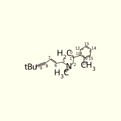 C=C(CN(C)CC=CC#CC(C)(C)C)c1ccccc1C